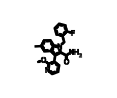 COc1ncccc1-c1c(C(N)=O)n(Cc2ccccc2F)c2ccc(C)cc12